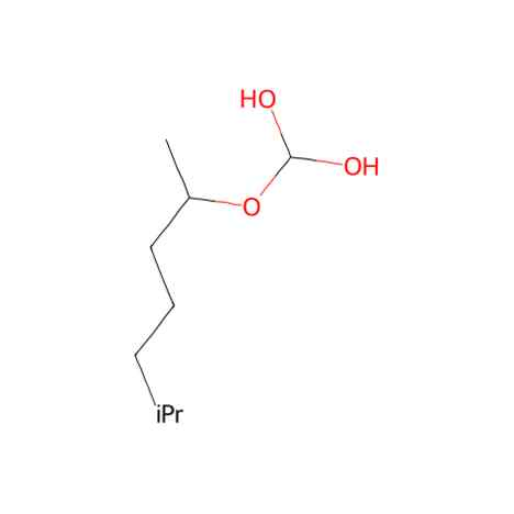 CC(C)CCCC(C)OC(O)O